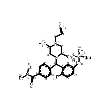 C=CCN1CC(C)N(C(c2ccc(C(=O)N(CC)CC)cc2)c2cc(O[Si](C)(C)C(C)(C)C)ccc2F)CC1C